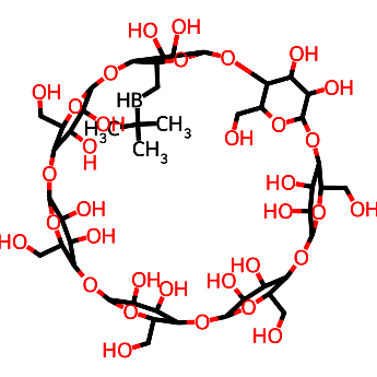 CC(C)(C)BCC1OC2OC3C(CO)OC(OC4C(CO)OC(OC5C(CO)OC(OC6C(CO)OC(OC7C(CO)OC(OC8C(CO)OC(OC1C(O)C2O)C(O)C8O)C(O)C7O)C(O)C6O)C(O)C5O)C(O)C4O)C(O)C3O